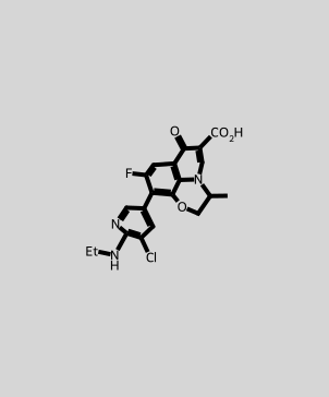 CCNc1ncc(-c2c(F)cc3c(=O)c(C(=O)O)cn4c3c2OCC4C)cc1Cl